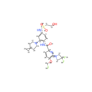 O=C(Nc1ccc(NS(=O)(=O)CCO)cc1N1CCC2(CC1)CC2)c1ccc(OCF)c(N2CC(F)(F)C2)n1